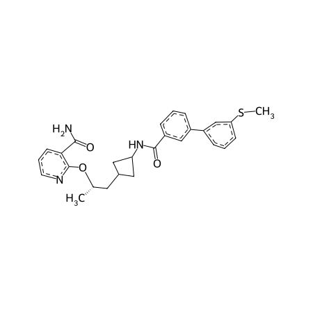 CSc1cccc(-c2cccc(C(=O)NC3CC(C[C@H](C)Oc4ncccc4C(N)=O)C3)c2)c1